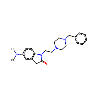 CCN(CC)c1ccc2c(c1)CC(=O)N2CCN1CCN(Cc2ccccc2)CC1